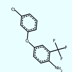 Nc1ccc(Oc2cccc(Cl)c2)cc1C(F)(F)F